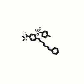 CCC(c1ccc(/C=C/C=C/C=C/c2ccccc2)cc1)[N+](C)(C)C.Cc1ccc(S(=O)(=O)[O-])cc1